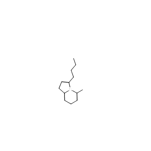 CCCCC1CCC2CCCC(C)N12